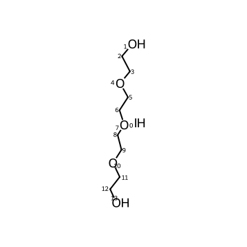 I.OCCOCCOCCOCCO